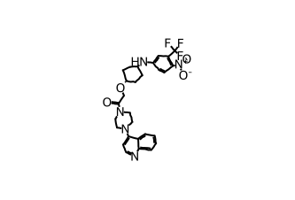 O=C(CO[C@H]1CC[C@H](Nc2ccc([N+](=O)[O-])c(C(F)(F)F)c2)CC1)N1CCN(c2ccnc3ccccc23)CC1